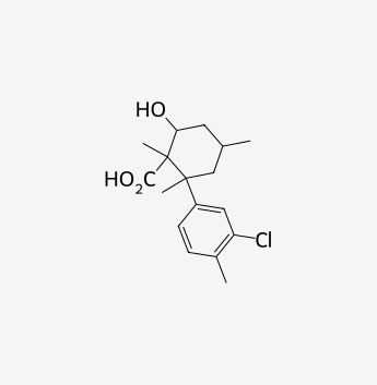 Cc1ccc(C2(C)CC(C)CC(O)C2(C)C(=O)O)cc1Cl